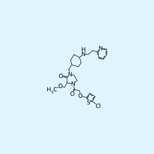 COCC1C(=O)N(CC2CCC(NCCc3ccccn3)CC2)CCN1C(=O)COc1ccc(Cl)s1